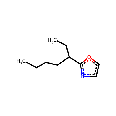 CCCCC(CC)c1ncco1